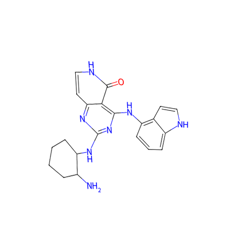 NC1CCCCC1Nc1nc(Nc2cccc3[nH]ccc23)c2c(=O)[nH]ccc2n1